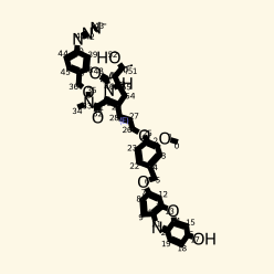 COc1cc(COc2ccc3c(c2)OC2=CC(O)C=CC2=N3)ccc1OC/C=C/C1=C(C(=O)N(C)OCc2ccc(N=[N+]=[N-])cc2)N2C(=O)[C@H]([C@@H](C)O)[C@H]2C1